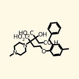 Cc1ccc(OCCC(C(=O)O)(N2CCN(C)CC2)C(O)(CC(=O)O)C(=O)O)c(Cc2ccccc2)c1